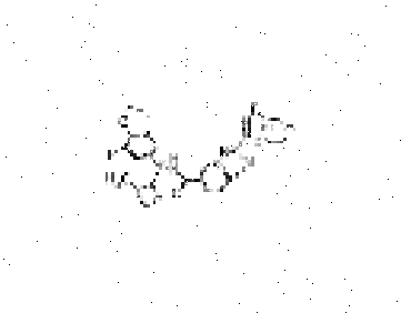 COc1ccc([C@H](NC(=O)c2ccc3cnc(N[C@H]4CCOC[C@@H]4F)nc3c2)c2ccnn2C)cc1F